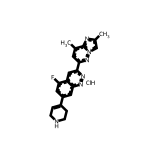 Cc1cn2nc(-c3cc4c(F)cc(C5=CCNCC5)cc4nn3)cc(C)c2n1.Cl